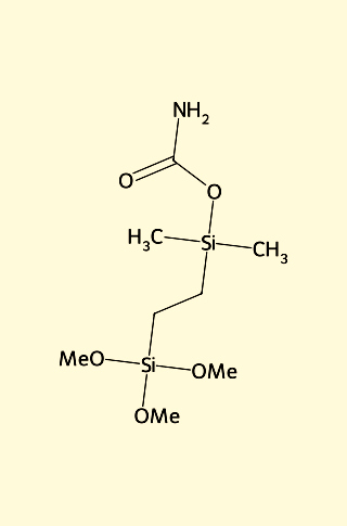 CO[Si](CC[Si](C)(C)OC(N)=O)(OC)OC